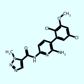 COc1cc(Cl)cc(-c2ccc(NC(=O)c3cnnn3C)nc2N)c1Cl